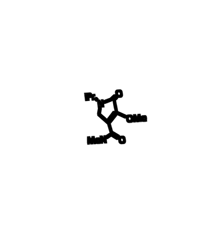 CNC(=O)C1=C(OC)C(=O)N(C(C)C)C1